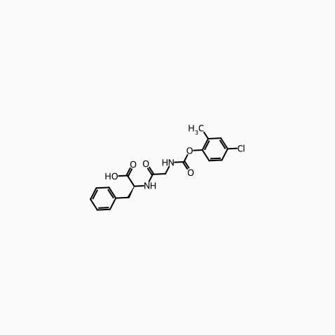 Cc1cc(Cl)ccc1OC(=O)NCC(=O)N[C@@H](Cc1ccccc1)C(=O)O